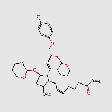 COC(=O)CCC/C=C\C[C@@H]1[C@@H](/C=C/[C@H](COc2ccc(Cl)cc2)OC2CCCCO2)[C@H](OC2CCCCO2)C[C@@H]1OC(C)=O